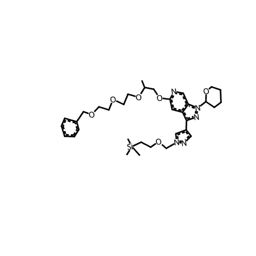 CC(COc1cc2c(-c3cnn(COCC[Si](C)(C)C)c3)nn(C3CCCCO3)c2cn1)OCCOCCOCc1ccccc1